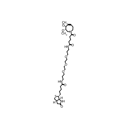 CO[C@H]1C#CCCN(C(=O)CCCC(=O)NCCCOCCOCCOCCCNC(=O)CCCC[C@@H]2SC[C@@H]3CC(=O)N[C@@H]32)C[C@@H]1OC